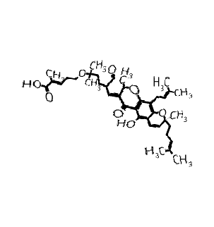 CC(C)=CCC[C@@]1(C)C=Cc2c(O)c3c(c(CC=C(C)C)c2O1)OC(C)/C(=C\C(C=O)CCC(C)(C)OCC/C=C(\C)C(=O)O)C3=O